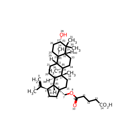 C=C(C)[C@@H]1CC[C@]2(COC(=O)CCCC(=O)O)CC[C@]3(C)[C@H](CC[C@@H]4[C@@]5(C)CC[C@H](O)C(C)(C)[C@@H]5CC[C@]43C)[C@@H]12